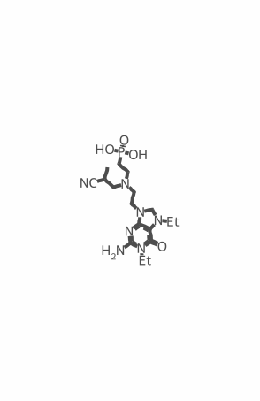 CCN1CN(CCN(CCP(=O)(O)O)CC(C)C#N)c2nc(N)n(CC)c(=O)c21